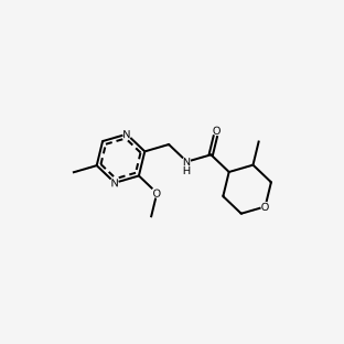 COc1nc(C)cnc1CNC(=O)C1CCOCC1C